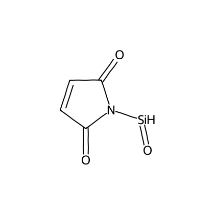 O=[SiH]N1C(=O)C=CC1=O